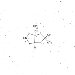 CC1(O)C[C@H]2CNC[C@H]2C1.Cl